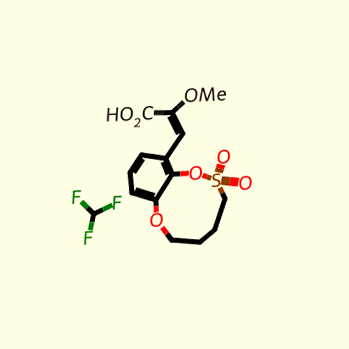 COC(=Cc1cccc2c1OS(=O)(=O)CCCCO2)C(=O)O.FC(F)F